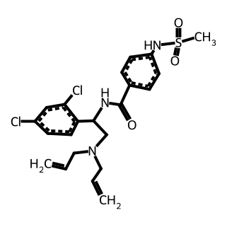 C=CCN(CC=C)CC(NC(=O)c1ccc(NS(C)(=O)=O)cc1)c1ccc(Cl)cc1Cl